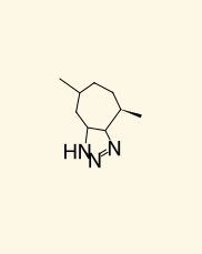 CC1CC[C@@H](C)C2N=NNC2C1